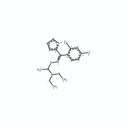 CCN(CC)C(C)ON=C(c1cccs1)c1ccc(Cl)cc1Cl